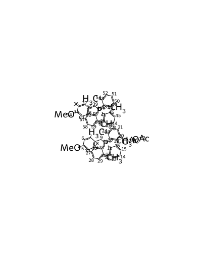 CC(=O)[O-].CC(=O)[O-].COc1ccc(C[P+](c2ccccc2C)(c2ccccc2C)c2ccccc2C)cc1.COc1ccc(C[P+](c2ccccc2C)(c2ccccc2C)c2ccccc2C)cc1